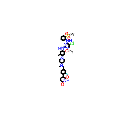 Cc1cc(Nc2ncc(Cl)c(Nc3ccccc3S(=O)(=O)C(C)C)n2)c(OC(C)C)cc1N1CCC(N(C)Cc2ccc(C3CCC(=O)NC3=O)c(F)c2)CC1